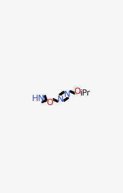 CC(C)OCCN1CCN(CCOC2CNC2)CC1